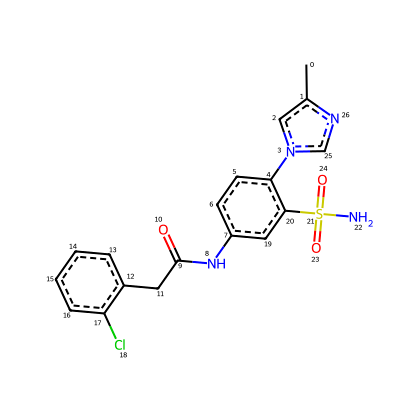 Cc1cn(-c2ccc(NC(=O)Cc3ccccc3Cl)cc2S(N)(=O)=O)cn1